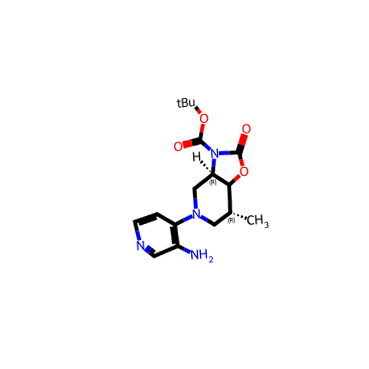 C[C@@H]1CN(c2ccncc2N)C[C@@H]2C1OC(=O)N2C(=O)OC(C)(C)C